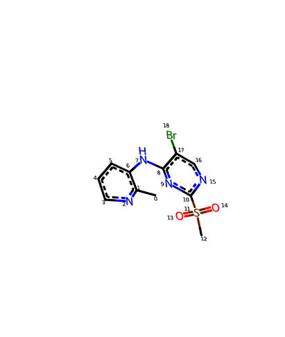 Cc1ncccc1Nc1nc(S(C)(=O)=O)ncc1Br